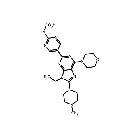 CN1CCN(c2nc3c(N4CCOCC4)nc(-c4cnc(NC(=O)O)nc4)nc3n2CC(F)(F)F)CC1